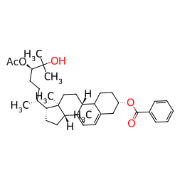 CC(=O)O[C@H](CC[C@@H](C)[C@H]1CC[C@H]2C3=CC=C4C[C@@H](OC(=O)c5ccccc5)CC[C@]4(C)[C@H]3CC[C@]12C)C(C)(C)O